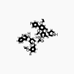 CCOc1cc(CN(c2ccc(NC(C)=O)nc2C)C2CCNCC2)cc(OCC)c1-c1ccc(F)cc1.CCOc1cc(CN2CCC(Nc3cnc4ccccc4c3)CC2)ccc1F